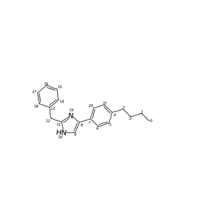 CCCCc1ccc(-c2c[nH]c(Cc3ccccc3)n2)cc1